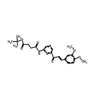 COc1ccc(/C=C/C(=O)c2cncc(NC(=O)CCC(=O)OC(C)(C)C)n2)cc1OC